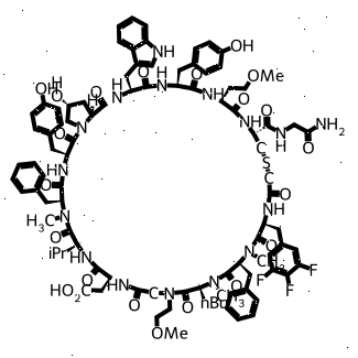 CCCC[C@H]1C(=O)N(CCOC)CC(=O)N[C@@H](CC(=O)O)C(=O)N[C@@H](C(C)C)C(=O)N(C)[C@@H](Cc2ccccc2)C(=O)N[C@@H](Cc2ccc(O)cc2)C(=O)N2C[C@H](O)C[C@@H]2C(=O)N[C@@H](Cc2c[nH]c3ccccc23)C(=O)N[C@@H](Cc2ccc(O)cc2)C(=O)N[C@@H](CCOC)C(=O)N[C@H](C(=O)NCC(N)=O)CSCC(=O)N[C@@H](Cc2cc(F)c(F)c(F)c2)C(=O)N(C)[C@@H](Cc2ccccc2)C(=O)N1C